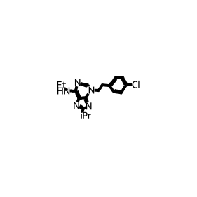 CCNc1ncn(CCc2ccc(Cl)cc2)c2nc(C(C)C)nc1-2